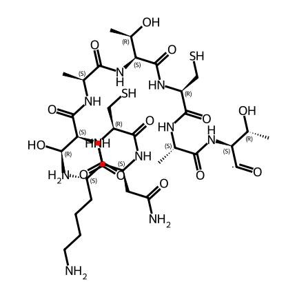 C[C@H](NC(=O)[C@H](CS)NC(=O)[C@@H](NC(=O)[C@H](C)NC(=O)[C@@H](NC(=O)[C@H](CC(N)=O)NC(=O)[C@H](CS)NC(=O)[C@@H](N)CCCCN)[C@@H](C)O)[C@@H](C)O)C(=O)N[C@H]([C]=O)[C@@H](C)O